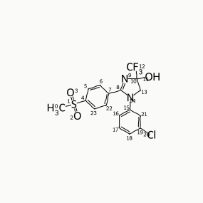 CS(=O)(=O)c1ccc(C2=NC(O)(C(F)(F)F)CN2c2cccc(Cl)c2)cc1